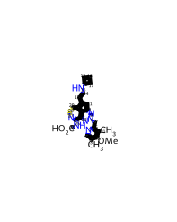 COc1c(C)cnc(Cn2nc3cc(CCNC4CCC4)c4c-3c(n2)C(NC(=O)O)=NSC4)c1C